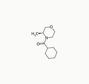 C[C@H]1COCCN1C(=O)C1CCCCC1